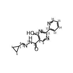 O=C(NN=CC1CC1)c1cnc(-c2ccccn2)nc1O